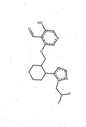 O=Cc1c(O)cncc1OCC1CCCCC1c1ccnn1CC(F)F